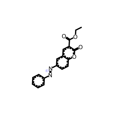 CCOC(=O)c1cc2cc(/N=N/c3ccccc3)ccc2oc1=O